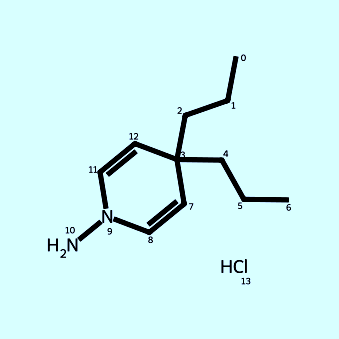 CCCC1(CCC)C=CN(N)C=C1.Cl